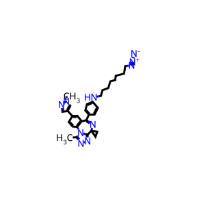 Cc1nnc2n1-c1ccc(-c3cnn(C)c3)cc1C(c1ccc(NCCCCCCCCN=[N+]=[N-])cc1)=NC21CC1